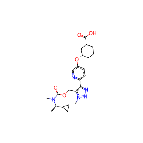 C[C@H](C1CC1)N(C)C(=O)OCc1c(-c2ccc(O[C@H]3CCC[C@H](C(=O)O)C3)cn2)nnn1C